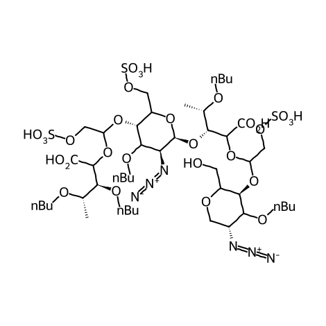 CCCCOC1[C@H](OC(COS(=O)(=O)O)OC(C(=O)O)[C@H](O[C@@H]2OC(COS(=O)(=O)O)[C@@H](OC(COS(=O)(=O)O)OC(C(=O)O)[C@@H](OCCCC)[C@H](C)OCCCC)C(OCCCC)[C@@H]2N=[N+]=[N-])[C@H](C)OCCCC)C(CO)OC[C@H]1N=[N+]=[N-]